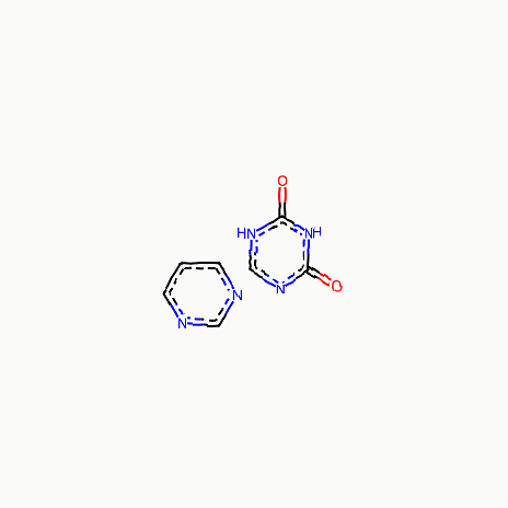 O=c1nc[nH]c(=O)[nH]1.c1cncnc1